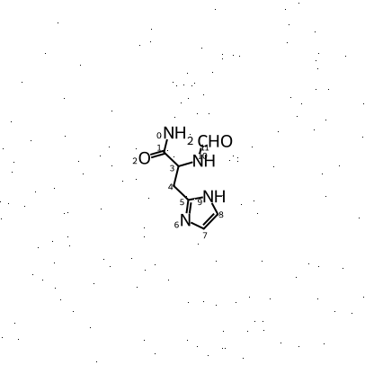 NC(=O)C(Cc1ncc[nH]1)NC=O